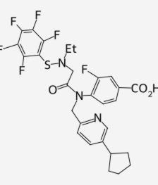 CCN(CC(=O)N(Cc1ccc(C2CCCC2)cn1)c1ccc(C(=O)O)cc1F)Sc1c(F)c(F)c(F)c(F)c1F